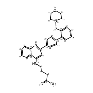 O=C(O)CCCNc1cc(-c2ccc(-c3ccccc3CN3CCOCC3)cc2)nc2ccccc12